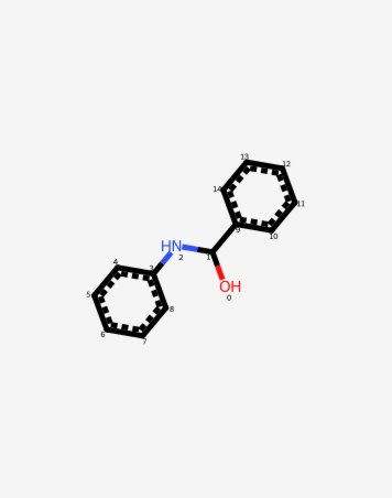 OC(Nc1ccccc1)c1ccccc1